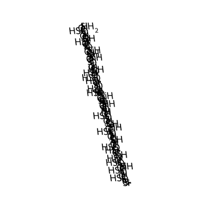 C[SiH2]O[SiH](C)O[SiH](C)O[SiH](C)O[SiH](C)O[SiH](C)O[SiH](C)O[SiH](C)O[SiH](C)O[SiH](C)O[SiH](C)O[SiH](C)O[SiH](C)O[SiH](C)O[SiH](C)O[SiH](C)O[SiH](C)O[SiH](C)O[SiH](C)O[SiH](C)O[SiH](C)O[SiH](C)O[SiH](C)O[SiH](C)O[SiH](C)O[SiH](C)O[SiH](C)O[SiH](C)O[SiH](C)O[SiH](C)O[SiH](C)O[SiH](C)O[SiH](C)O[SiH](C)O[SiH](C)O[SiH](C)O[SiH](C)O[SiH](C)O[SiH](C)O[SiH](C)OO[Si](C)(C)C